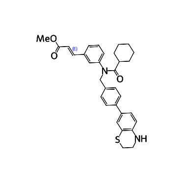 COC(=O)/C=C/c1cccc(N(Cc2ccc(-c3ccc4c(c3)SCCN4)cc2)C(=O)C2CCCCC2)c1